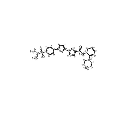 CN(C)S(=O)(=O)c1ccc(-n2ccc(-c3nc(C(=O)NC4CN=CC=C4N4CCNCC4)cs3)n2)cc1